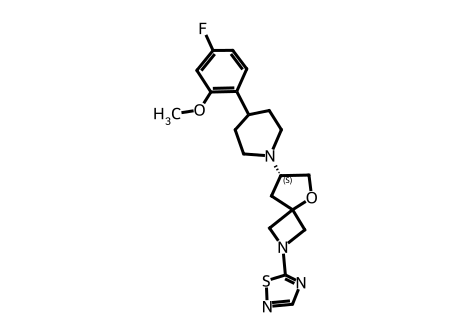 COc1cc(F)ccc1C1CCN([C@@H]2COC3(C2)CN(c2ncns2)C3)CC1